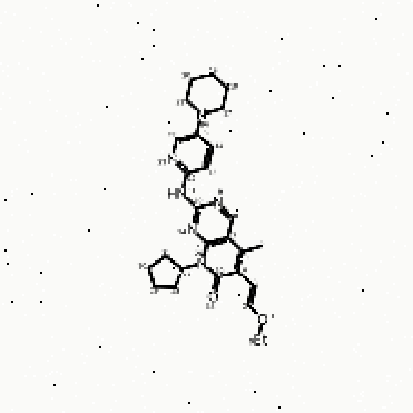 CCOC=Cc1c(C)c2cnc(Nc3ccc(N4CCCCC4)cn3)nc2n(C2CCCC2)c1=O